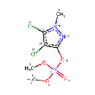 COP(=O)(OC)Oc1nn(C)c(Cl)c1Cl